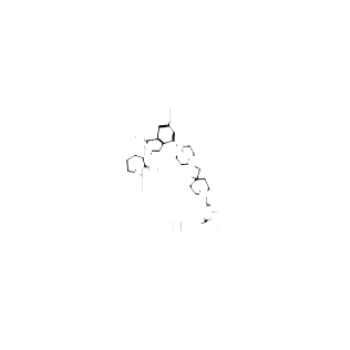 CC(C)(C)OC(=O)N1CCC(F)(CN2CCN(c3cc(F)cc4c3CN(C3CCC(=O)NC3=O)C4=O)CC2)CC1